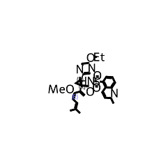 C=C(/C(=C\C=C(C)C)OC)[C@@]1(C(=O)NS(=O)(=O)c2cccc3nc(C)ccc23)C[C@H]1c1cnc(OCC)cn1